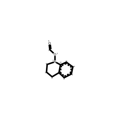 O=CON1CCCc2ccccc21